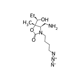 CC[C@@H](O)[C@@]1(C)OC(=O)N(CCCCN=[N+]=[N-])[C@@H]1CN